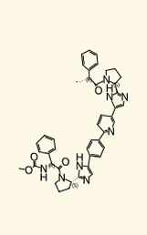 [CH2][C@@H](C(=O)N1CCC[C@H]1c1ncc(-c2ccc(-c3ccc(-c4cnc([C@@H]5CCCN5C(=O)[C@H](NC(=O)OC)c5ccccc5)[nH]4)cc3)nc2)[nH]1)c1ccccc1